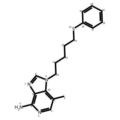 Cc1cnc(N)c2ncn(CCCCCSc3ccccc3)c12